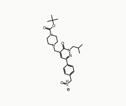 CC(C)Cn1nc(-c2ccc(C[SH](=O)=O)cc2)cc(CN2CCN(C(=O)OC(C)(C)C)CC2)c1=O